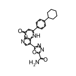 NC(=O)c1nnc(-c2cnn3c(=O)cc(-c4ccc(C5CCCCC5)cc4)[nH]c23)o1